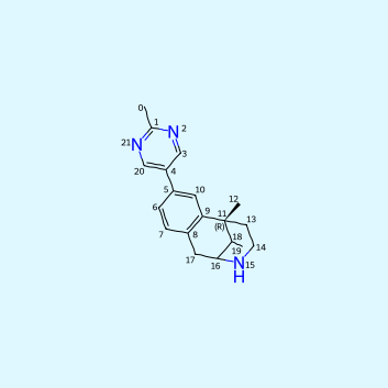 Cc1ncc(-c2ccc3c(c2)[C@]2(C)CCNC(C3)C2C)cn1